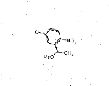 COC(C)c1cc(Cl)ccc1[N+](=O)[O-]